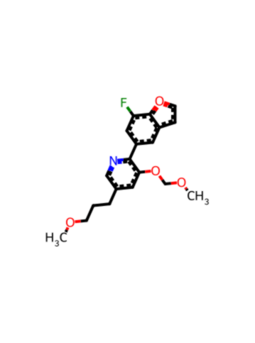 COCCCc1cnc(-c2cc(F)c3occc3c2)c(OCOC)c1